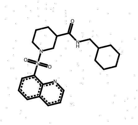 O=C(NCC1CCCCC1)C1CCCN(S(=O)(=O)c2cccc3cccnc23)C1